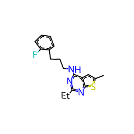 CCc1nc(NCCCc2ccccc2F)c2cc(C)sc2n1